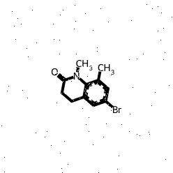 Cc1cc(Br)cc2c1N(C)C(=O)CC2